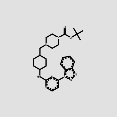 CC(C)(C)OC(=O)N1CCN(CC2CCC(Nc3nccc(-n4nnc5ccccc54)n3)CC2)CC1